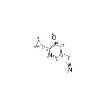 N#CCc1cnc(C2CC2)c(Cl)c1